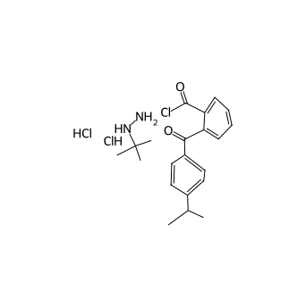 CC(C)(C)NN.CC(C)c1ccc(C(=O)c2ccccc2C(=O)Cl)cc1.Cl.Cl